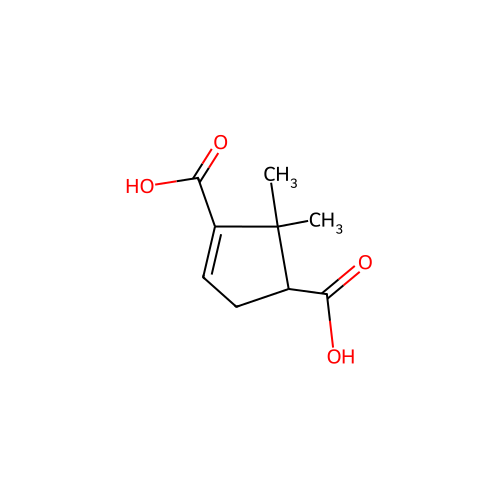 CC1(C)C(C(=O)O)=CCC1C(=O)O